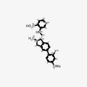 COc1ccc(-c2ccc3c(c2)CN(C)[C@@H]3CNc2cnccc2C(=O)O)c(F)c1